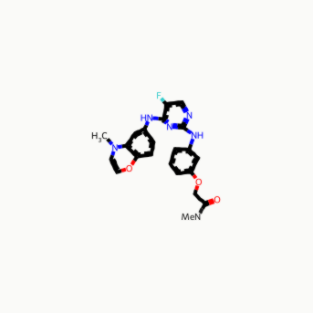 CNC(=O)COc1cccc(Nc2ncc(F)c(Nc3ccc4c(c3)N(C)C=CO4)n2)c1